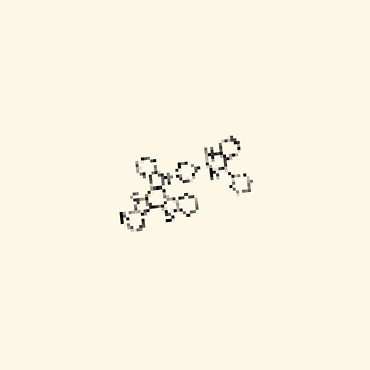 c1ccc(-c2nc(-c3ccc(-n4c5ccccc5c5c6sc7ncccc7c6c6sc7ccccc7c6c54)cc3)nc3ccccc23)cc1